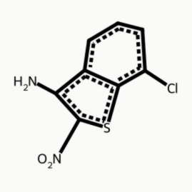 Nc1c([N+](=O)[O-])sc2c(Cl)cccc12